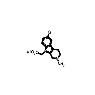 CCOC(=O)Cn1c2c(c3cc(Cl)ccc31)CCN(C)C2